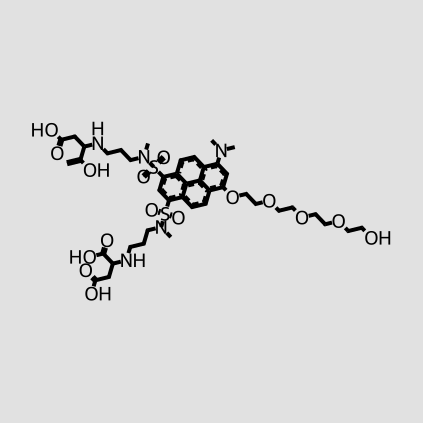 C=C(O)C(CC(=O)O)NCCCN(C)S(=O)(=O)c1cc(S(=O)(=O)N(C)CCCNC(CC(=O)O)C(=O)O)c2ccc3c(OCCOCCOCCOCCO)cc(N(C)C)c4ccc1c2c34